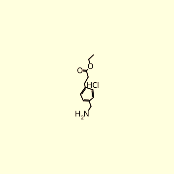 CCOC(=O)CCc1ccc(CN)cc1.Cl